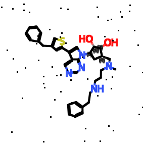 CN(CCCNCCc1ccccc1)C[C@H]1C[C@@H](n2cc(-c3cc(Cc4ccccc4)cs3)c3cncnc32)[C@H](O)[C@@H]1O